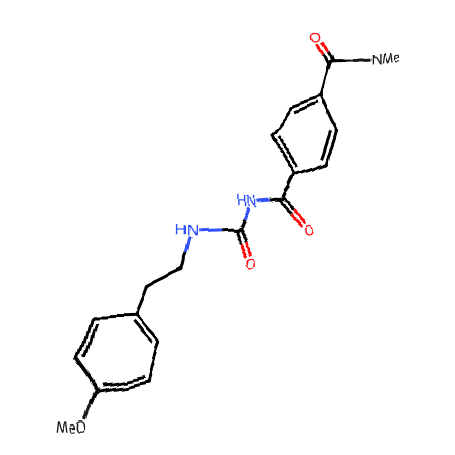 CNC(=O)c1ccc(C(=O)NC(=O)NCCc2ccc(OC)cc2)cc1